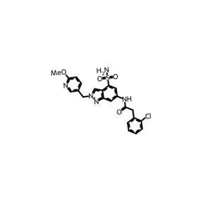 COc1ccc(Cn2cc3c(S(N)(=O)=O)cc(NC(=O)Cc4ccccc4Cl)cc3n2)cn1